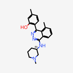 Cc1ccc(-c2nnc(N[C@@H]3CCCN(C)C3)c3cccc(C)c23)c(O)c1